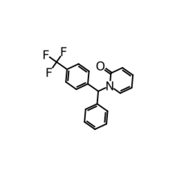 O=c1ccccn1C(c1ccccc1)c1ccc(C(F)(F)F)cc1